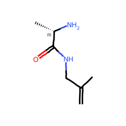 C=C(C)CNC(=O)[C@H](C)N